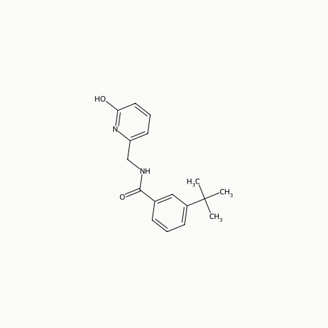 CC(C)(C)c1cccc(C(=O)NCc2cccc(O)n2)c1